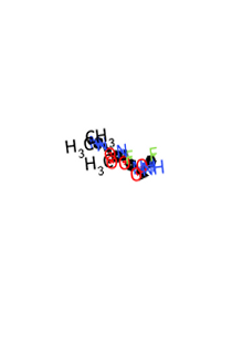 COc1cc2c(Oc3ccc(NC(=O)C4(C(=O)Nc5ccc(F)cc5)CC4)cc3F)ccnc2cc1OCCCN1CCN(C(C)C)CC1